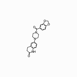 O=C1CCc2cc(N3CCN(C(=O)c4ccc5c(c4)OCO5)CC3)ccc2N1